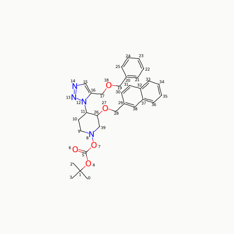 CC(C)(C)OC(=O)ON1CCC(n2nncc2COCc2ccccc2)C(OCc2ccc3ccccc3c2)C1